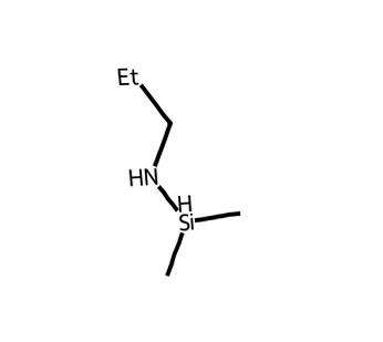 CCCN[SiH](C)C